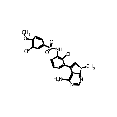 COc1ccc(S(=O)(=O)Nc2cccc(-c3cn(C)c4ncnc(N)c34)c2Cl)cc1Cl